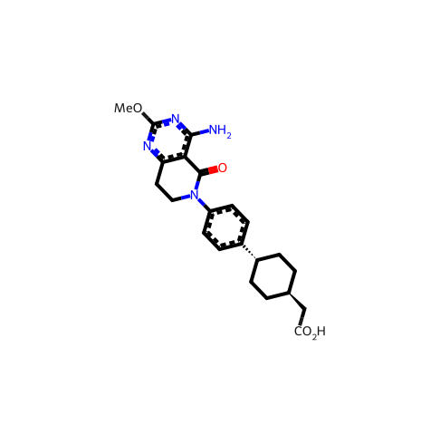 COc1nc(N)c2c(n1)CCN(c1ccc([C@H]3CC[C@H](CC(=O)O)CC3)cc1)C2=O